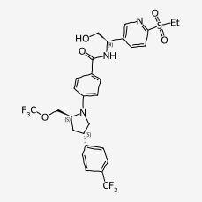 CCS(=O)(=O)c1ccc([C@H](CO)NC(=O)c2ccc(N3C[C@H](c4ccc(C(F)(F)F)cc4)C[C@H]3COC(F)(F)F)cc2)cn1